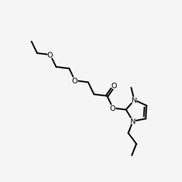 CCCN1C=CN(C)C1OC(=O)CCOCCOCC